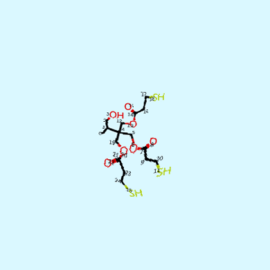 CC(CO)C(COC(=O)CCS)(COC(=O)CCS)COC(=O)CCS